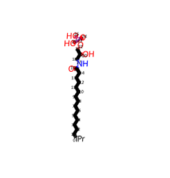 CC(C)CCCCCCCCCCCCCCC(=O)NCC(O)COP(=O)(O)O